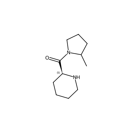 CC1CCCN1C(=O)[C@@H]1CCCCN1